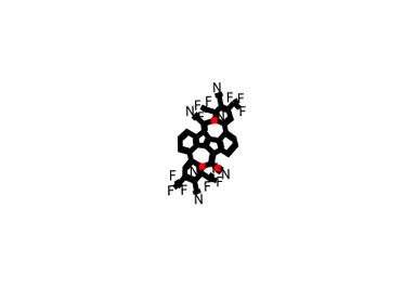 N#CC(C#N)=C1C2=C(C(=C(C#N)C#N)c3cccc(-c4cc(C(F)(F)F)c(C#N)c(C(F)(F)F)c4)c32)c2c1cccc2-c1cc(C(F)(F)F)c(C#N)c(C(F)(F)F)c1